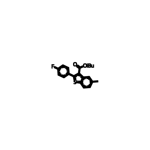 Cc1ccc2sc(-c3ccc(F)cc3)c(C(=O)OCC(C)C)c2c1